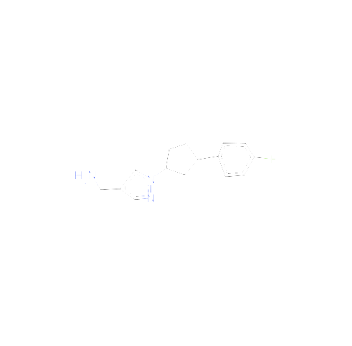 NCc1cnn(C2CCC(c3ccc(F)cc3)C2)c1